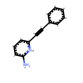 Nc1cccc(C#Cc2ccccc2)n1